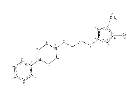 Cc1nn(CCCCN2CCN(c3ncccn3)CC2)cc1Br